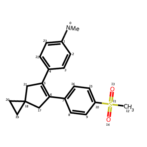 CNc1ccc(C2=C(c3ccc(S(C)(=O)=O)cc3)CC3(CC3)C2)cc1